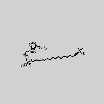 CCS(C)(C)C#CCCCCCCCCCCCSCCCOP(=O)(O)CO[C@H](C)Cn1cnc2c(N)ncnc21